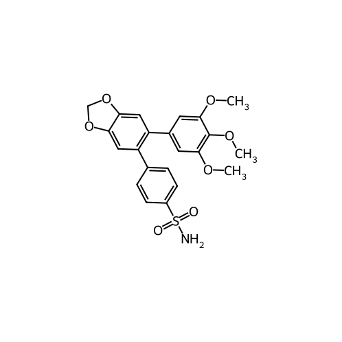 COc1cc(-c2cc3c(cc2-c2ccc(S(N)(=O)=O)cc2)OCO3)cc(OC)c1OC